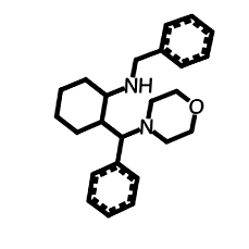 c1ccc(CNC2CCCCC2C(c2ccccc2)N2CCOCC2)cc1